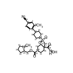 Cc1cc(C#N)ccc1C1CCN(S(=O)(=O)CC2(C(=O)NO)CCN(C(=O)OCC3CCCN3C)CC2)CC1